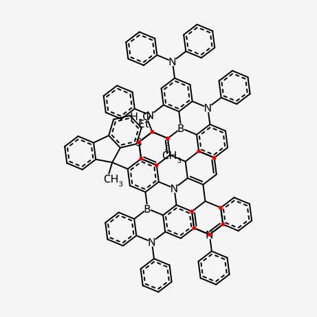 CCN(c1ccccc1)c1cc(N(c2ccccc2)c2ccccc2)cc2c1B([C@H](C)C(C)Sc1cc3c(cc1C1(C)c4ccccc4-c4ccccc41)B1c4ccccc4N(c4ccccc4)c4cc(N(c5ccccc5)c5ccccc5)cc(c41)N3C1=C(C3C=CC=CC3)C=CCC1C1=CCCC=C1)c1ccccc1N2c1ccccc1